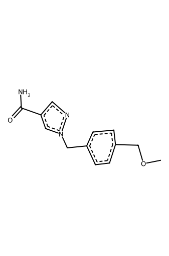 COCc1ccc(Cn2cc(C(N)=O)cn2)cc1